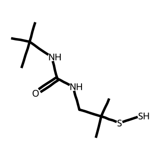 CC(C)(C)NC(=O)NCC(C)(C)SS